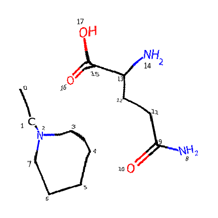 CCN1CCCCC1.NC(=O)CCC(N)C(=O)O